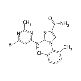 Cc1nc(Br)cc(NC2SC(C(N)=O)=CN2c2c(C)cccc2Cl)n1